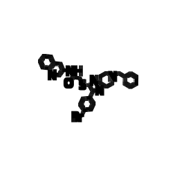 O=C(CSC1=NC2(CCN(Cc3ccccc3)CC2)N=C1c1ccc(Br)cc1)Nc1cnc2ccccc2c1